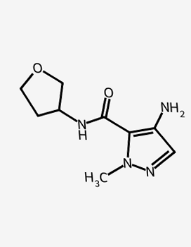 Cn1ncc(N)c1C(=O)NC1CCOC1